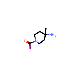 CC1(N)CCN(C(=O)I)CC1